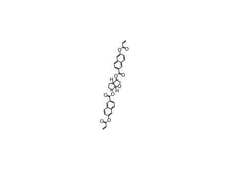 C=CC(=O)Oc1ccc2cc(C(=O)O[C@H]3CO[C@H]4[C@@H]3CC[C@H]4OC(=O)c3ccc4cc(OC(=O)C=C)ccc4c3)ccc2c1